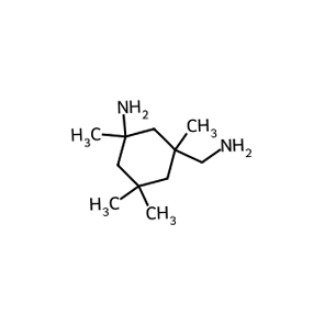 CC1(C)CC(C)(N)CC(C)(CN)C1